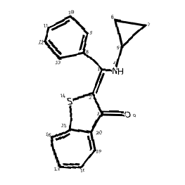 O=C1/C(=C(\NC2CC2)c2ccccc2)Sc2ccccc21